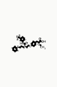 CCOC(Cc1ccc(OCCN(CCCSc2ccccc2)C(=O)Nc2cccc(C(F)(F)F)c2)cc1)C(=O)O